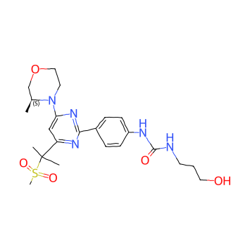 C[C@H]1COCCN1c1cc(C(C)(C)S(C)(=O)=O)nc(-c2ccc(NC(=O)NCCCO)cc2)n1